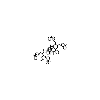 CC(=O)OCCC1CC2C(=O)C[C@H]3[C@@H]4CC[C@H]([C@H](C)C(CCOC(C)=O)C(CCOC(C)=O)CC(C)C)[C@@]4(C)CC[C@@H]3[C@@]2(C)CC1CCOC(C)=O